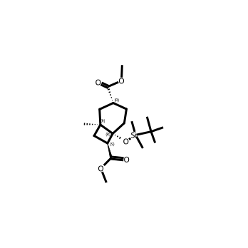 COC(=O)[C@@H]1CC[C@@]2(O[Si](C)(C)C(C)(C)C)[C@@H](C(=O)OC)C[C@@]2(C)C1